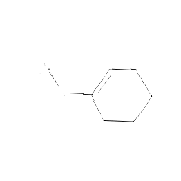 NSC1=CCCCC1